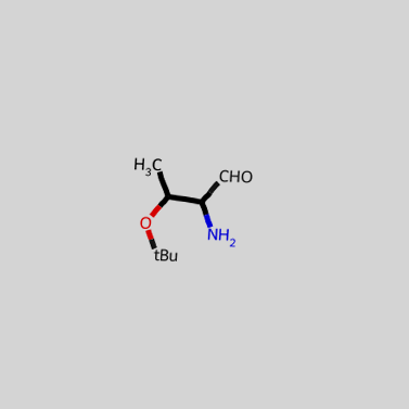 CC(OC(C)(C)C)C(N)C=O